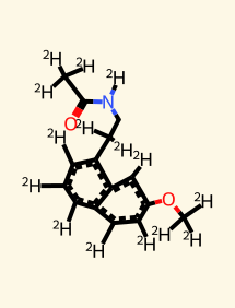 [2H]c1c([2H])c(C([2H])([2H])CN([2H])C(=O)C([2H])([2H])[2H])c2c([2H])c(OC([2H])([2H])[2H])c([2H])c([2H])c2c1[2H]